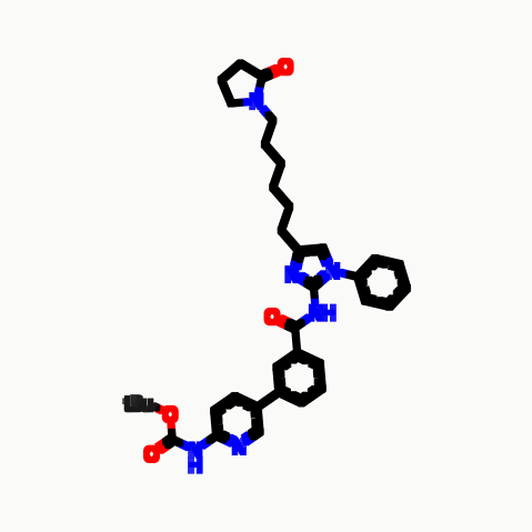 CC(C)(C)OC(=O)Nc1ccc(-c2cccc(C(=O)Nc3nc(CCCCCCN4CCCC4=O)cn3-c3ccccc3)c2)cn1